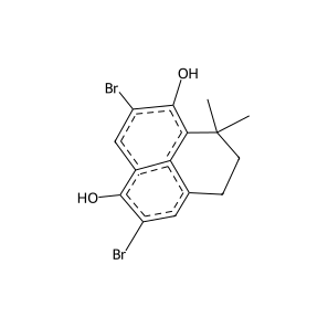 CC1(C)CCc2cc(Br)c(O)c3cc(Br)c(O)c1c23